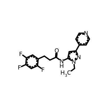 CCn1nc(-c2ccncc2)cc1NC(=O)CCc1cc(F)c(F)cc1F